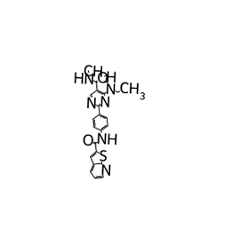 CCNc1nc(-c2ccc(NC(=O)c3cc4cccnc4s3)cc2)ncc1C(=O)NC